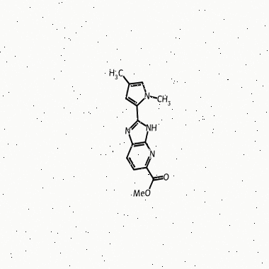 COC(=O)c1ccc2nc(-c3cc(C)cn3C)[nH]c2n1